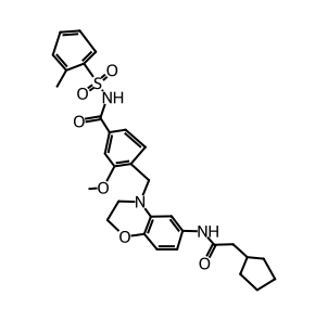 COc1cc(C(=O)NS(=O)(=O)c2ccccc2C)ccc1CN1CCOc2ccc(NC(=O)CC3CCCC3)cc21